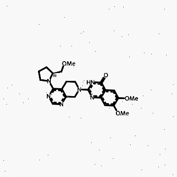 COC[C@@H]1CCCN1c1ncnc2c1CCN(c1nc3cc(OC)c(OC)cc3c(=O)[nH]1)C2